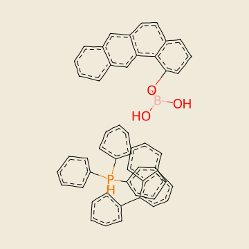 OB(O)Oc1cccc2ccc3cc4ccccc4cc3c12.c1ccc([PH](c2ccccc2)(c2ccccc2)c2ccccc2-c2cccc3ccccc23)cc1